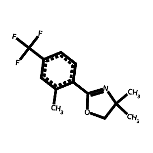 Cc1cc(C(F)(F)F)ccc1C1=NC(C)(C)CO1